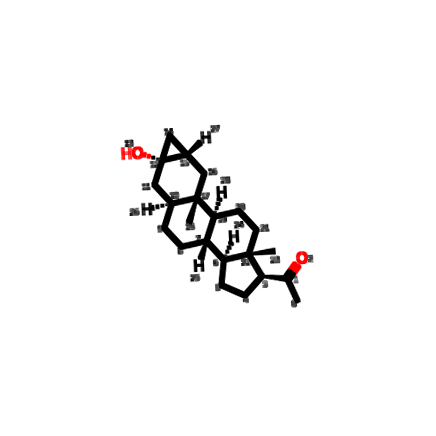 CC(=O)[C@H]1CC[C@H]2[C@@H]3CC[C@H]4C[C@@]5(O)C[C@@H]5C[C@]4(C)[C@H]3CC[C@]12C